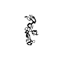 CCOc1ncccc1-c1ccc(OC2CC3(C2)CN(C(=O)C2(F)CCCC2)C3)c(OC2CCN(C)C2)n1